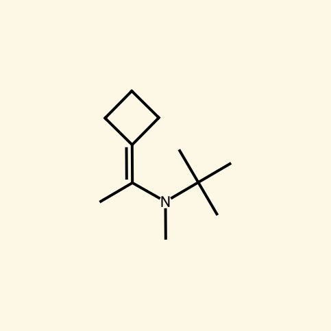 CC(=C1CCC1)N(C)C(C)(C)C